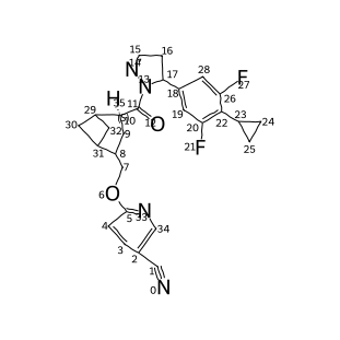 N#Cc1ccc(OCC2C[C@H](C(=O)N3N=CCC3c3cc(F)c(C4CC4)c(F)c3)C3CC2C3)nc1